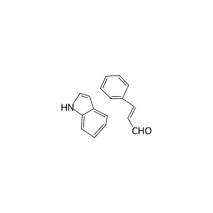 O=C/C=C/c1ccccc1.c1ccc2[nH]ccc2c1